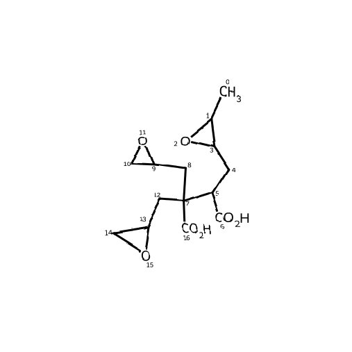 CC1OC1CC(C(=O)O)C(CC1CO1)(CC1CO1)C(=O)O